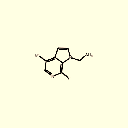 CCn1ccc2c(Br)cnc(Cl)c21